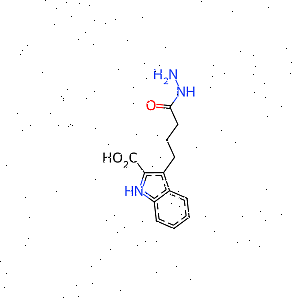 NNC(=O)CCCc1c(C(=O)O)[nH]c2ccccc12